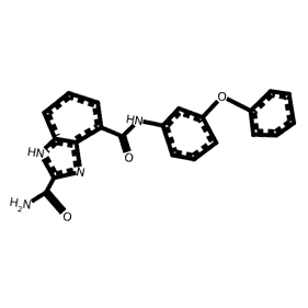 NC(=O)c1nc2c(C(=O)Nc3cccc(Oc4ccccc4)c3)cccc2[nH]1